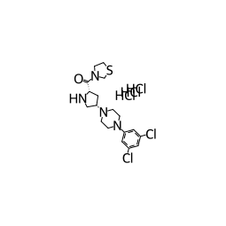 Cl.Cl.Cl.O=C([C@@H]1C[C@H](N2CCN(c3cc(Cl)cc(Cl)c3)CC2)CN1)N1CCSC1